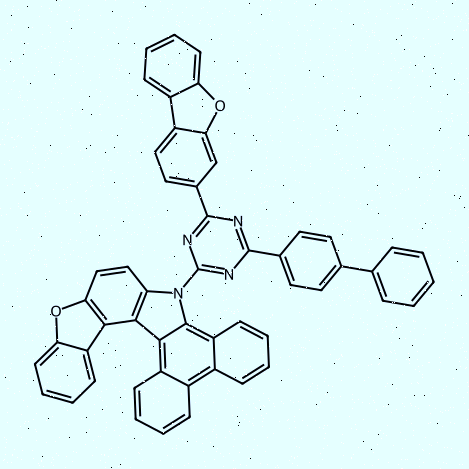 c1ccc(-c2ccc(-c3nc(-c4ccc5c(c4)oc4ccccc45)nc(-n4c5ccc6oc7ccccc7c6c5c5c6ccccc6c6ccccc6c54)n3)cc2)cc1